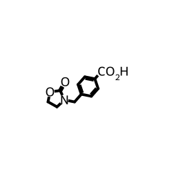 O=C(O)c1ccc(CN2CCOC2=O)cc1